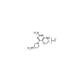 COC(C)(C)[C@@H]1COc2c(nc(N)nc2N2CC[C@@H](N)C2)N1